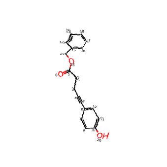 O=C(CCC#Cc1ccc(O)cc1)OCc1ccccc1